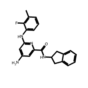 Cc1cccc(Nc2cc(N)cc(C(=O)NC3Cc4ccccc4C3)n2)c1F